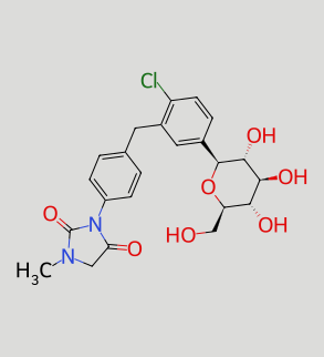 CN1CC(=O)N(c2ccc(Cc3cc([C@@H]4O[C@H](CO)[C@@H](O)[C@H](O)[C@H]4O)ccc3Cl)cc2)C1=O